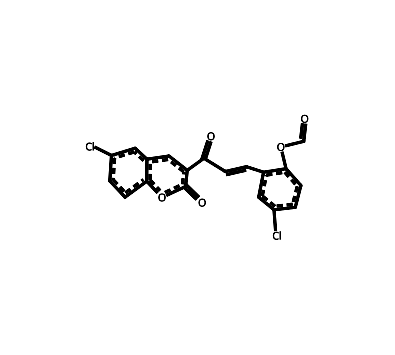 O=COc1ccc(Cl)cc1/C=C/C(=O)c1cc2cc(Cl)ccc2oc1=O